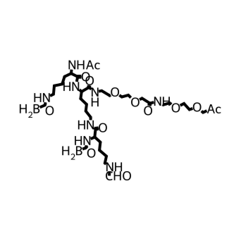 BC(=O)NCCCCC(NC(C)=O)C(=O)NC(CCCCNC(=O)C(CCCCNC=O)NC(B)=O)C(=O)NCCOCCOCC(=O)NCCOCCOCC(C)=O